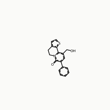 O=c1c(-c2ccccc2)cc(CO)c2n1CCc1ccsc1-2